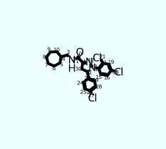 O=C(NCC1CCCCCC1)C1=NN(c2ccc(Cl)cc2Cl)C(c2ccc(Cl)cc2)C1